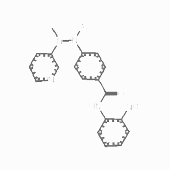 CC(=O)N(c1ccc(C(=O)Nc2ccccc2N)cc1)N(C)c1cccnc1